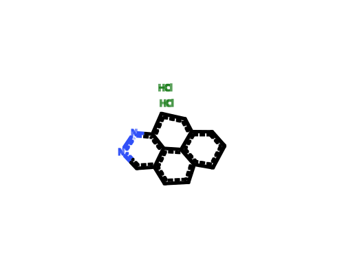 Cl.Cl.c1cc2ccc3cnnc4ccc(c1)c2c34